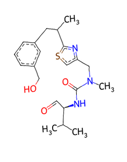 CC(Cc1cccc(CO)c1)c1nc(CN(C)C(=O)N[C@H](C=O)C(C)C)cs1